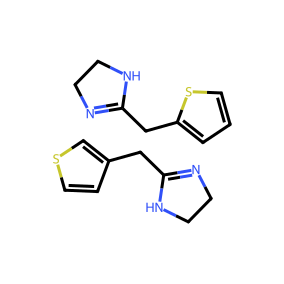 c1cc(CC2=NCCN2)cs1.c1csc(CC2=NCCN2)c1